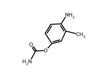 Cc1cc(OC(N)=O)ccc1N